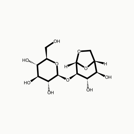 OC[C@H]1O[C@@H](O[C@H]2[C@@H]3OC[C@@H](O3)[C@@H](O)[C@@H]2O)[C@H](O)[C@@H](O)[C@@H]1O